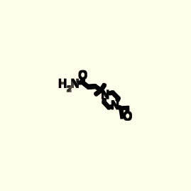 CC(C)(C=CC(N)=O)N1CCN(C2COC2)CC1